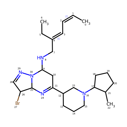 C/C=C\C=C(/CC)CNC1CC(C2CCCN(C3CCCC3C)C2)=NC2C(Br)C=NN12